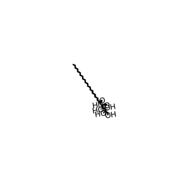 CCCCCCCCCCCCCCCC=CC=CC=CC(=O)N[C@@H](C=O)[C@@H](O)[C@H](O)[C@H](O)CO